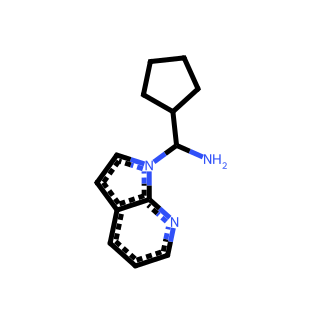 NC(C1CCCC1)n1ccc2cccnc21